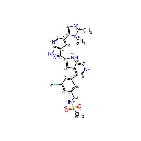 Cc1ncc(-c2cnc3[nH]nc(-c4cc5c(-c6cc(F)cc(CNS(C)(=O)=O)c6)cncc5[nH]4)c3c2)n1C